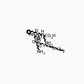 NCCCC[C@H](NC(=O)CSCCOCCOCCOCCF)C(=O)NCC(=O)N[C@@H](Cc1ccccc1)C(=O)NCC(=O)N[C@@H](CCCN)C(=O)O